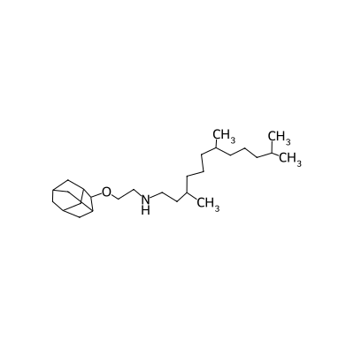 CC(C)CCCC(C)CCCC(C)CCNCCOC1C2CC3CC(C2)CC1C3